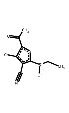 CC[S+]([O-])c1sc(C(C)=O)c(Cl)c1C#N